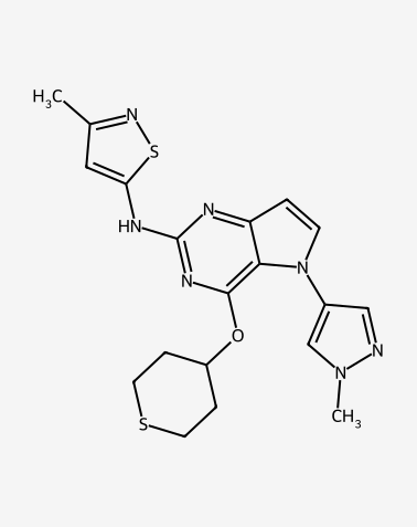 Cc1cc(Nc2nc(OC3CCSCC3)c3c(ccn3-c3cnn(C)c3)n2)sn1